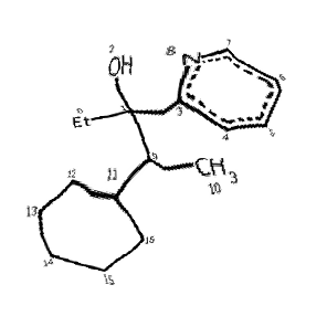 CCC(O)(c1ccccn1)C(C)C1CCCCC1